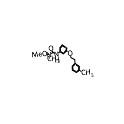 CON(C)C(=O)Nc1cccc(OCCc2cccc(C)c2)c1